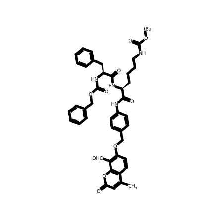 Cc1cc(=O)oc2c(C=O)c(OCc3ccc(NC(=O)[C@H](CCCCNC(=O)OC(C)(C)C)NC(=O)[C@H](Cc4ccccc4)NC(=O)OCc4ccccc4)cc3)ccc12